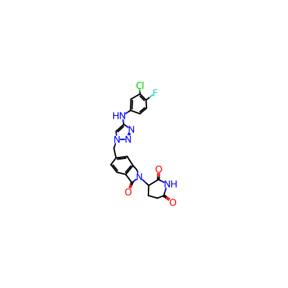 O=C1CCC(N2Cc3cc(Cn4cc(Nc5ccc(F)c(Cl)c5)nn4)ccc3C2=O)C(=O)N1